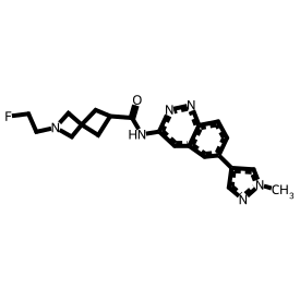 Cn1cc(-c2ccc3nnc(NC(=O)C4CC5(C4)CN(CCF)C5)cc3c2)cn1